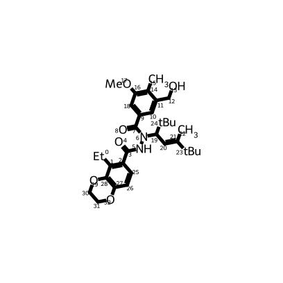 CCc1c(C(=O)NN(C(=O)c2cc(CO)c(C)c(OC)c2)C(/C=C(\C)C(C)(C)C)C(C)(C)C)ccc2c1OCCO2